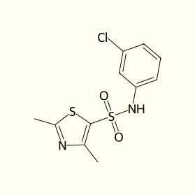 Cc1nc(C)c(S(=O)(=O)Nc2cccc(Cl)c2)s1